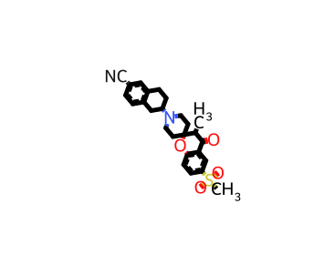 CC1C(=O)c2cc(S(C)(=O)=O)ccc2OC12CCN(C1CCc3cc(C#N)ccc3C1)CC2